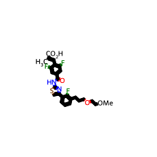 COCCOCCCc1cccc(-c2csc(NC(=O)c3cc(F)c(/C=C(\C)C(=O)O)c(F)c3)n2)c1F